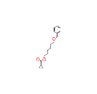 O=C(OCCCCCCOCc1ccccc1)C1CC1